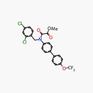 COC(=O)C(=O)N(Cc1ccc(Cl)cc1Cl)c1ccc(-c2ccc(OC(F)(F)F)cc2)cc1